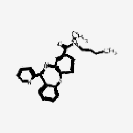 CCCCN(C)C(=O)c1ccc2c(c1)N=C(c1ccccn1)c1ccccc1S2